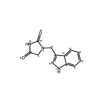 O=C1CN(Cc2n[nH]c3ccccc23)C(=O)N1